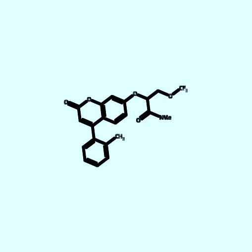 CNC(=O)C(COC(F)(F)F)Oc1ccc2c(-c3ccccc3C)cc(=O)oc2c1